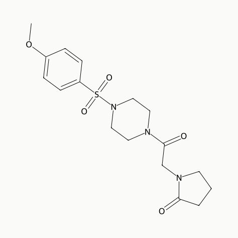 COc1ccc(S(=O)(=O)N2CCN(C(=O)CN3CCCC3=O)CC2)cc1